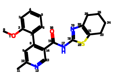 COc1ccccc1-c1cc(C)ncc1C(=O)Nc1nc2c(s1)CCCC2